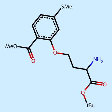 COC(=O)c1ccc(SC)cc1OCCC(N)C(=O)OC(C)(C)C